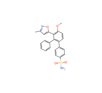 COc1ccc(-c2ccc(S(N)(=O)=O)cc2)c(-c2ccccc2)c1-c1cc(C)no1